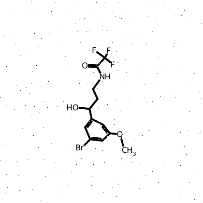 COc1cc(Br)cc(C(O)CCNC(=O)C(F)(F)F)c1